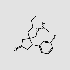 CCCCC1(CO[SiH](C)C)CC(=O)CC1c1cccc(F)c1